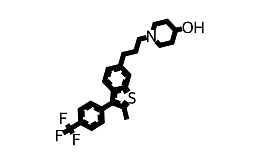 Cc1sc2cc(CCCN3CCC(O)CC3)ccc2c1-c1ccc(C(F)(F)F)cc1